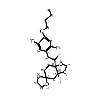 CCCCOc1cc(F)c(CC(C)[C@]23CCC4(C[C@H]2OCO3)OCCO4)cc1F